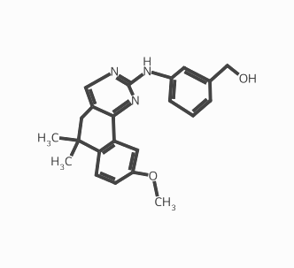 COc1ccc2c(c1)-c1nc(Nc3cccc(CO)c3)ncc1CC2(C)C